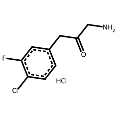 Cl.NCC(=O)Cc1ccc(Cl)c(F)c1